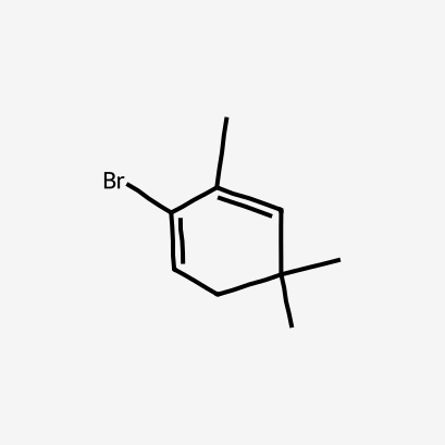 CC1=CC(C)(C)CC=C1Br